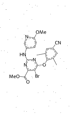 COC(=O)c1nc(Nc2ccc(OC)nc2)nc(Oc2c(C)cc(C#N)cc2C)c1Br